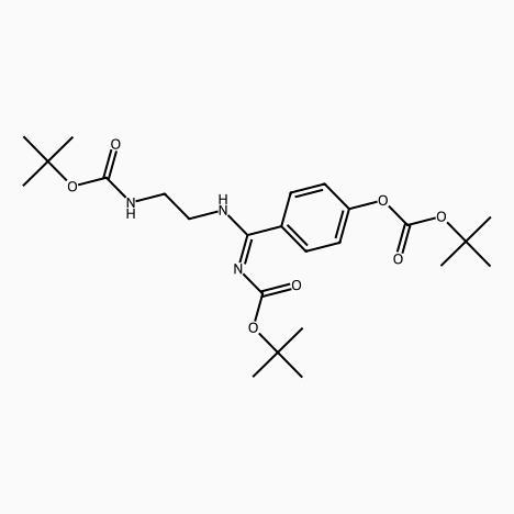 CC(C)(C)OC(=O)/N=C(/NCCNC(=O)OC(C)(C)C)c1ccc(OC(=O)OC(C)(C)C)cc1